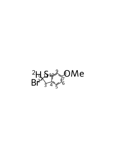 [2H]C1(Br)Cc2ccc(OC)cc2S1